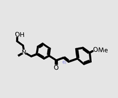 COc1ccc(/C=C/C(=O)c2cccc(CN(C)CCO)c2)cc1